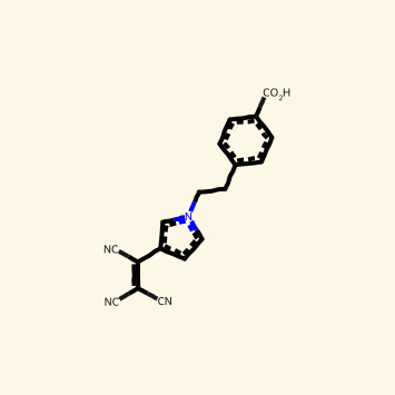 N#CC(C#N)=C(C#N)c1ccn(CCc2ccc(C(=O)O)cc2)c1